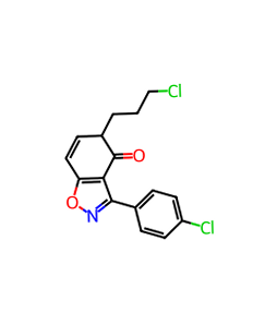 O=C1c2c(-c3ccc(Cl)cc3)noc2C=CC1CCCCl